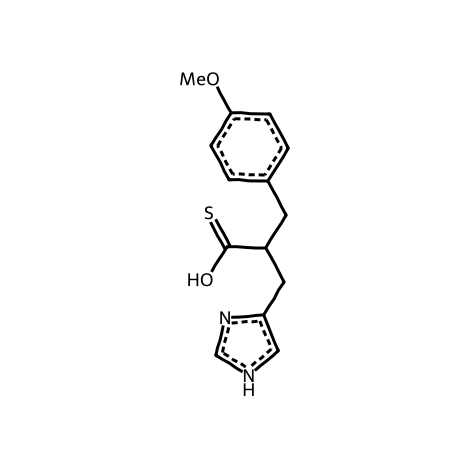 COc1ccc(CC(Cc2c[nH]cn2)C(O)=S)cc1